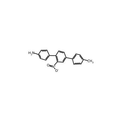 Cc1ccc(-c2ccc(-c3ccc(N)cc3)c([N+](=O)[O-])c2)cc1